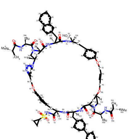 CN[C@@H](C)C(=O)N[C@H](C(=O)N1C[C@@H]2C[C@H]1C(=O)N[C@@H](Cc1ccc3ccccc3c1)C(=O)N[C@H](C(=O)O)Cc1ccc(cc1)OC/C=C/CO[C@H]1C[C@@H](C(=O)N[C@@H](Cc3ccc(-c4ccccc4)cc3)C(=O)N[C@H](C(=O)NS(=O)(=O)C3CC3)Cc3ccc(cc3)OCc3cn2nn3)N(C(=O)[C@@H](NC(=O)[C@H](C)NC)C(C)(C)C)C1)C(C)(C)C